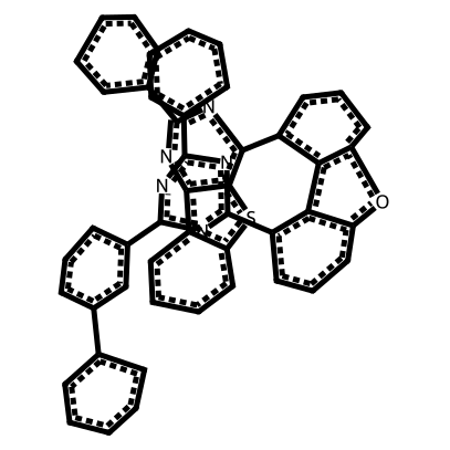 c1ccc(-c2cccc(-c3nc(-c4ccccc4)nc(-c4cccc5oc6cccc(-c7nc(-c8ccccc8)nc8c7sc7ccccc78)c6c45)n3)c2)cc1